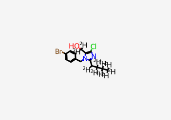 [2H]C(c1nc(Cl)c(C([2H])([2H])O)n1Cc1ccc(Br)cc1)C([2H])([2H])C([2H])([2H])C([2H])([2H])[2H]